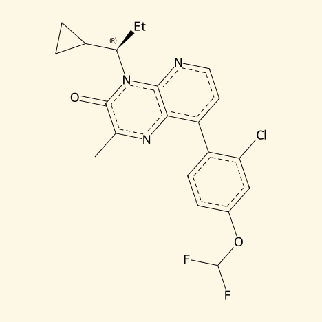 CC[C@H](C1CC1)n1c(=O)c(C)nc2c(-c3ccc(OC(F)F)cc3Cl)ccnc21